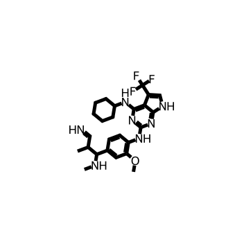 CNC(c1ccc(Nc2nc(NC3CCCCC3)c3c(C(F)(F)F)c[nH]c3n2)c(OC)c1)C(C)C=N